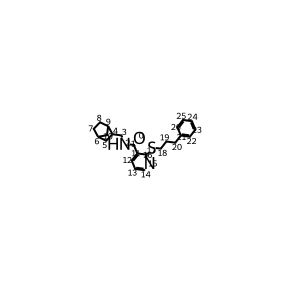 O=C(NCC1CC2CCC1C2)c1cccnc1SCCCc1ccccc1